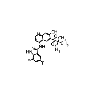 Cc1cc2nccc(Nc3n[nH]c4c(F)cc(F)cc34)c2cc1S(=O)(=O)C(C)(C)C